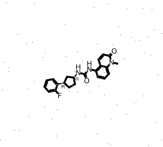 Cn1c(=O)ccc2c(NC(=O)N[C@H]3CC[C@@H](c4ccccc4F)C3)cccc21